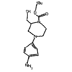 CC(C)(C)OC(=O)N1CCN(c2ccc(N)cc2)CC1CO